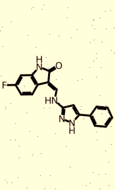 O=C1Nc2cc(F)ccc2/C1=C\Nc1cc(-c2ccccc2)[nH]n1